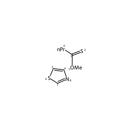 CCCC(=S)OC.c1cscn1